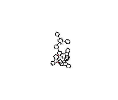 c1ccc(-c2nc(-c3ccccc3)nc(-c3cccc(-c4ccc(-n5c6ccccc6c6ccccc65)c(-n5c6ccccc6c6ccc(-n7c8ccccc8c8ccc(-n9c%10ccccc%10c%10ccccc%109)cc87)cc65)c4)c3)n2)cc1